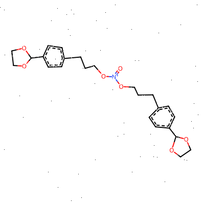 O=[N+](OCCCc1ccc(C2OCCO2)cc1)OCCCc1ccc(C2OCCO2)cc1